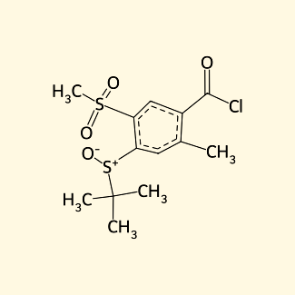 Cc1cc([S+]([O-])C(C)(C)C)c(S(C)(=O)=O)cc1C(=O)Cl